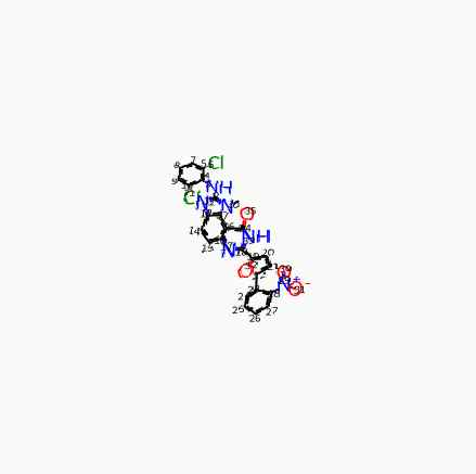 Cn1c(Nc2c(Cl)cccc2Cl)nc2ccc3nc(-c4ccc(-c5ccccc5[N+](=O)[O-])o4)[nH]c(=O)c3c21